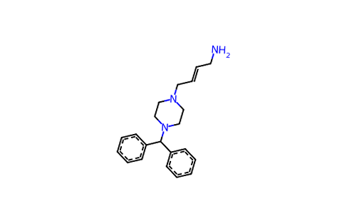 NCC=CCN1CCN(C(c2ccccc2)c2ccccc2)CC1